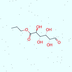 CCCOC(=O)[C@@H](O)[C@@H](O)[C@H](O)[C@@H](O)C=O